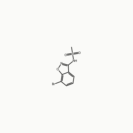 CS(=O)(=O)Nc1noc2c(Br)cccc12